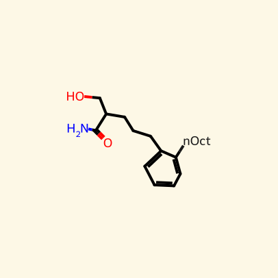 CCCCCCCCc1ccccc1CCCC(CO)C(N)=O